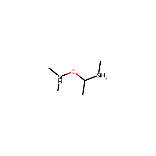 C[SiH2]C(C)O[SiH](C)C